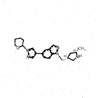 C[C@H]1C[C@@H](Cn2ncc3cc(-c4cnn(C5CCCCO5)c4)ccc32)CN1